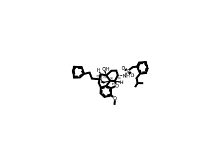 COc1ccc2c3c1O[C@H]1[C@@H](NS(=O)(=O)Cc4ccccc4CC(C)C)CC[C@@]4(O)[C@@H](C2)N(CCc2ccccc2)CC[C@]314